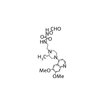 COc1cc2nccc(N3CCN(CCNS(=O)(=O)NOC=O)[C@H](C)C3)c2cc1OC